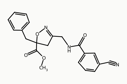 COC(=O)C1(Cc2ccccc2)CC(CNC(=O)c2cccc(C#N)c2)=NO1